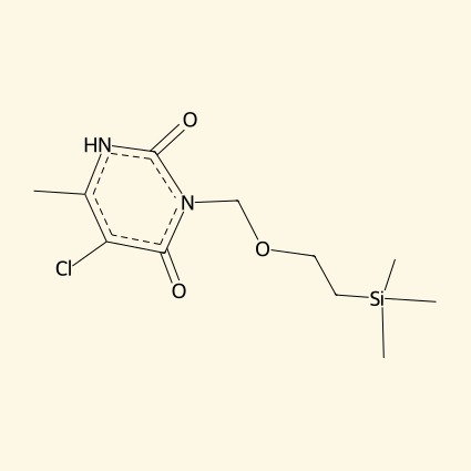 Cc1[nH]c(=O)n(COCC[Si](C)(C)C)c(=O)c1Cl